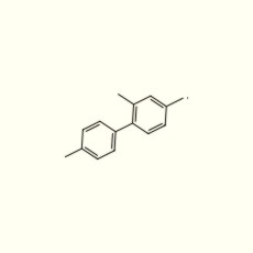 [CH2]c1ccc(-c2ccc(C)cc2)c(C)c1